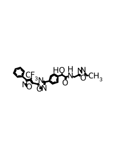 Cc1nnc(CNC(=O)C(O)c2ccc(-c3noc(-c4onc(-c5ccccc5)c4C(F)(F)F)n3)cc2)o1